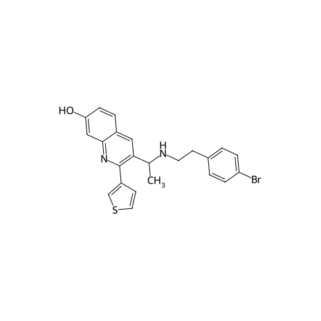 CC(NCCc1ccc(Br)cc1)c1cc2ccc(O)cc2nc1-c1ccsc1